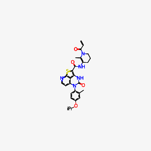 C=CC(=O)N1CCCC(NC(=O)c2sc3nccc4c3c2NC(=O)N4c2ccc(OC(C)C)cc2C)=C1C